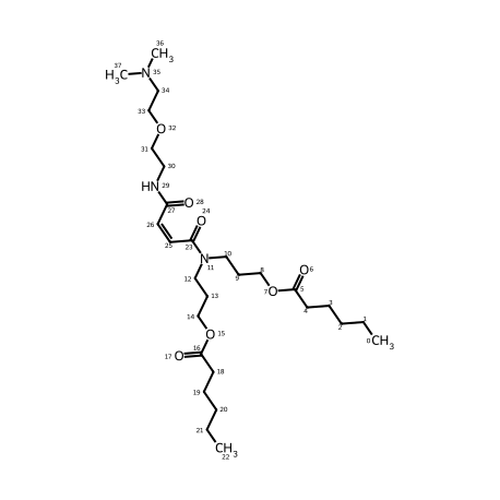 CCCCCC(=O)OCCCN(CCCOC(=O)CCCCC)C(=O)/C=C\C(=O)NCCOCCN(C)C